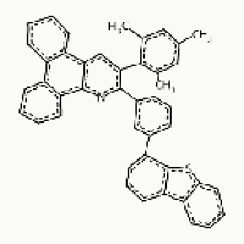 Cc1cc(C)c(-c2cc3c4ccccc4c4ccccc4c3nc2-c2cccc(-c3cccc4c3sc3ccccc34)c2)c(C)c1